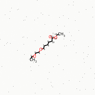 C=COCCOCCCCCC(=O)OCC